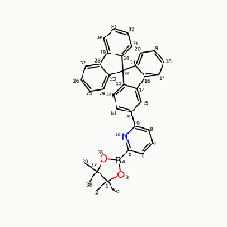 CC1(C)OB(c2cccc(-c3ccc4c(c3)-c3ccccc3C43c4ccccc4-c4ccccc43)n2)OC1(C)C